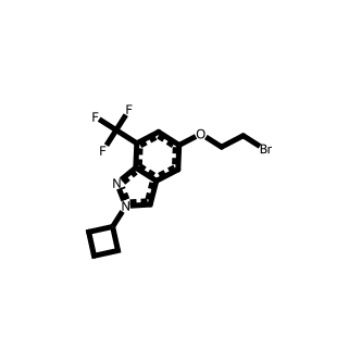 FC(F)(F)c1cc(OCCBr)cc2cn(C3CCC3)nc12